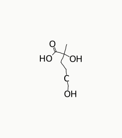 CC(O)(CCCCO)C(=O)O